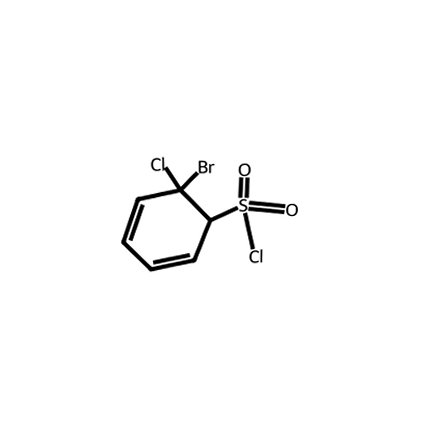 O=S(=O)(Cl)C1C=CC=CC1(Cl)Br